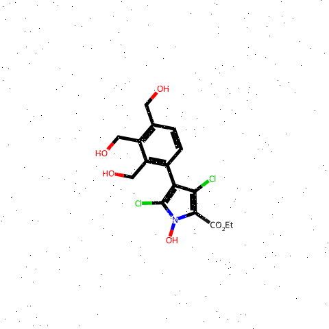 CCOC(=O)c1c(Cl)c(-c2ccc(CO)c(CO)c2CO)c(Cl)n1O